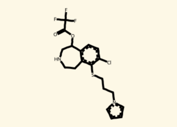 O=C(OC1CNCCc2c1ccc(Cl)c2SCCCn1cccc1)C(F)(F)F